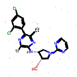 CCc1nc(-c2ccc(Cl)cc2Cl)c(CC)nc1N[C@@H]1CN(c2ncccn2)C[C@@H]1O